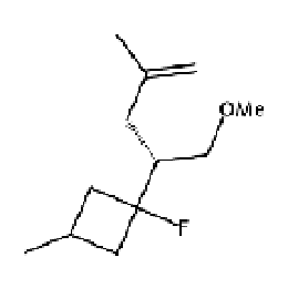 C=C(C)C[C@H](COC)C1(F)CC(C)C1